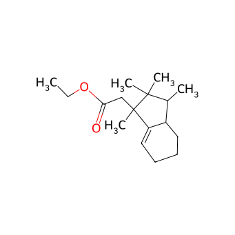 CCOC(=O)CC1(C)C2=CCCCC2C(C)C1(C)C